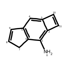 Nc1c2c(cc3c1CC=C3)C=C2